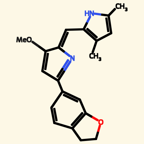 COC1=CC(c2ccc3c(c2)OCC3)=NC1=Cc1[nH]c(C)cc1C